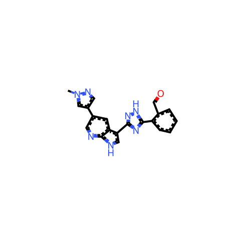 Cn1cc(-c2cnc3[nH]cc(-c4n[nH]c(-c5ccccc5C=O)n4)c3c2)cn1